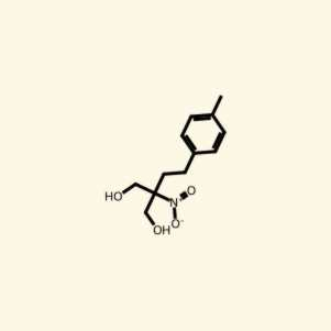 Cc1ccc(CCC(CO)(CO)[N+](=O)[O-])cc1